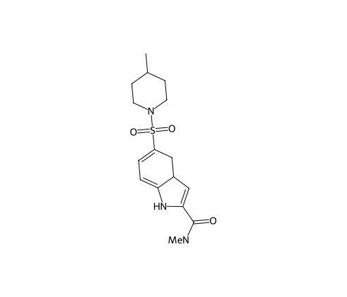 CNC(=O)C1=CC2CC(S(=O)(=O)N3CCC(C)CC3)=CC=C2N1